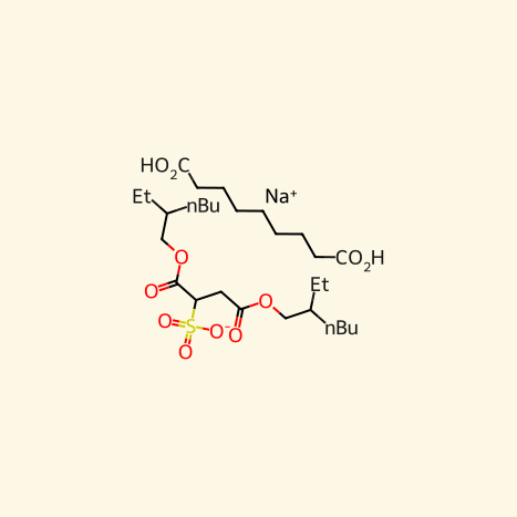 CCCCC(CC)COC(=O)CC(C(=O)OCC(CC)CCCC)S(=O)(=O)[O-].O=C(O)CCCCCCCC(=O)O.[Na+]